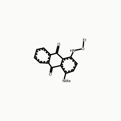 CCONc1ccc(NC)c2c1C(=O)c1ccccc1C2=O